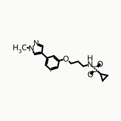 Cn1cc(-c2c[c]cc(OCCCNS(=O)(=O)C3CC3)c2)cn1